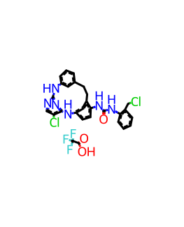 O=C(Nc1ccccc1CCl)Nc1ccc2cc1CCc1cccc(c1)Nc1ncc(Cl)c(n1)N2.O=C(O)C(F)(F)F